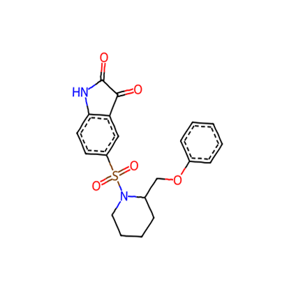 O=C1Nc2ccc(S(=O)(=O)N3CCCCC3COc3ccccc3)cc2C1=O